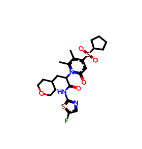 Cc1c(S(=O)(=O)C2CCCC2)cc(=O)n(C(CC2CCOCC2)C(=O)Nc2ncc(F)s2)c1C